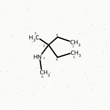 [CH2]NC(C)(CC)CC